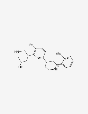 CCc1ccc(C2CCN[C@H](c3ccccc3C(C)(C)C)C2)cc1C1CNCC(O)C1